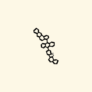 c1ccc2cc3c(ccc4c(-c5c6ccccc6c(-c6ccc7c(c6)sc6c8ccccc8ccc76)c6ccccc56)cccc43)cc2c1